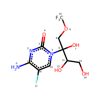 Nc1nc(=O)n(C(O)(COC(F)(F)F)C(O)CO)cc1F